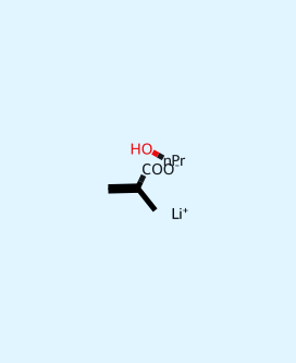 C=C(C)C(=O)[O-].CCCO.[Li+]